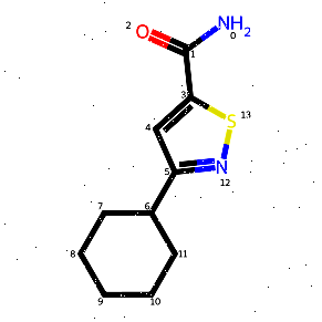 NC(=O)c1cc(C2CCCCC2)ns1